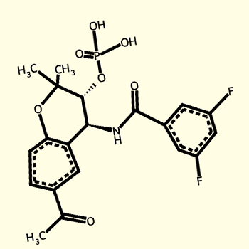 CC(=O)c1ccc2c(c1)[C@H](NC(=O)c1cc(F)cc(F)c1)[C@@H](OP(=O)(O)O)C(C)(C)O2